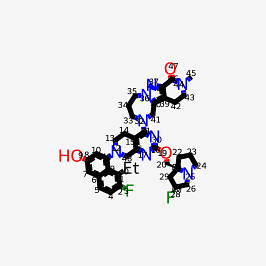 CCc1c(F)ccc2cc(O)cc(N3CCc4c(nc(OC[C@@]56CCCN5C[C@H](F)C6)nc4N4CCCn5nc6c(c5C4)CCN(C)C6=O)C3)c12